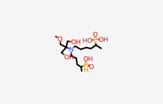 COCC(CO)(CO)N(CCCCC(C)P(=O)(O)O)CCCC(C)[PH](=O)O